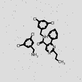 CCCc1ncc(C(=O)NCc2cc(Cl)cc(Cl)c2)c(-c2ccccc2)n1.NCc1cc(Cl)cc(Cl)c1